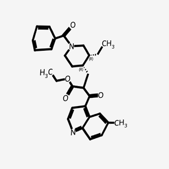 CCOC(=O)C(C[C@@H]1CCN(C(=O)c2ccccc2)C[C@@H]1CC)C(=O)c1ccnc2ccc(C)cc12